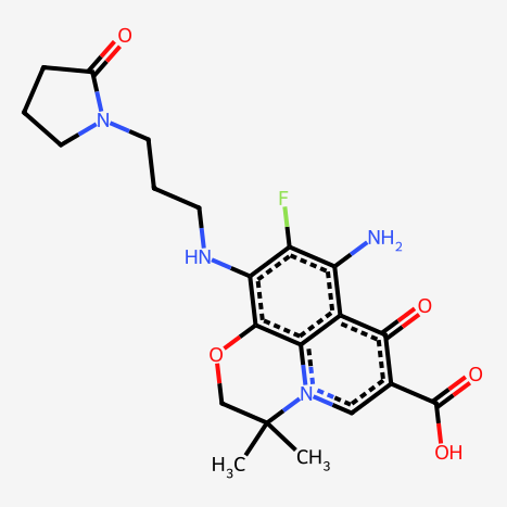 CC1(C)COc2c(NCCCN3CCCC3=O)c(F)c(N)c3c(=O)c(C(=O)O)cn1c23